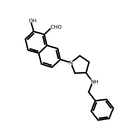 O=Cc1c(O)ccc2ccc(N3CCC(NCc4ccccc4)C3)cc12